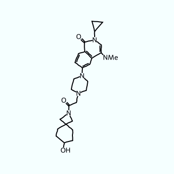 CNc1cn(C2CC2)c(=O)c2ccc(N3CCN(CC(=O)N4CC5(CCC(O)CC5)C4)CC3)cc12